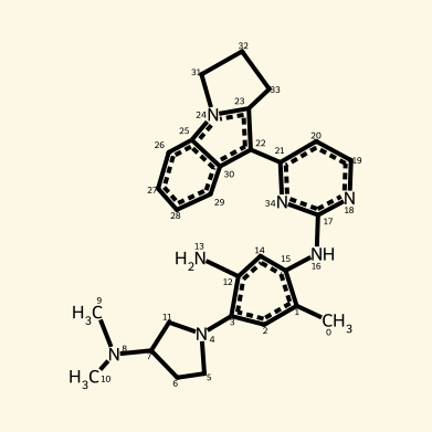 Cc1cc(N2CCC(N(C)C)C2)c(N)cc1Nc1nccc(-c2c3n(c4ccccc24)CCC3)n1